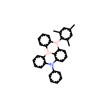 Cc1cc(C)c(B2c3ccccc3B3c4ccccc4N(c4ccccc4)c4cccc2c43)c(C)c1